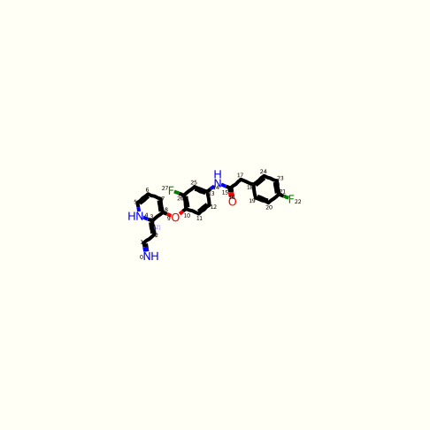 N=C/C=C1\NC=CC=C1Oc1ccc(NC(=O)Cc2ccc(F)cc2)cc1F